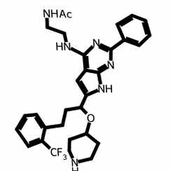 CC(=O)NCCNc1nc(-c2ccccc2)nc2[nH]c(C(CCc3ccccc3C(F)(F)F)OC3CCNCC3)cc12